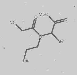 COC(=O)C(C(C)C)N(CCC(C)(C)C)C(=O)CC#N